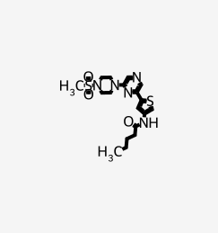 CCCCC(=O)Nc1csc(-c2cncc(N3CCN(S(C)(=O)=O)CC3)n2)c1